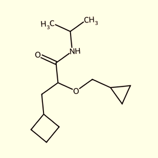 CC(C)NC(=O)C(CC1CCC1)OCC1CC1